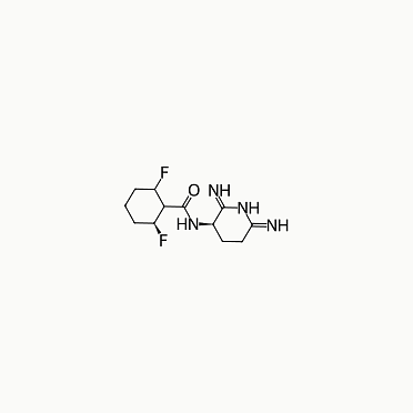 N=C1CC[C@@H](NC(=O)C2C(F)CCC[C@@H]2F)C(=N)N1